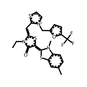 CCn1c(=O)/c(=C2\Sc3cc(C)ccc3N2C)s/c1=C\c1scc[n+]1Cc1ccc(C(F)(F)F)o1